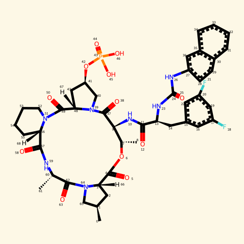 C[C@@H]1C[C@H]2C(=O)O[C@@H](C)[C@H](NC(=O)[C@H](Cc3cc(F)cc(F)c3)NC(=O)Nc3ccc4ccccc4c3)C(=O)N3C[C@H](OP(=O)(O)O)C[C@H]3C(=O)N3CCCC[C@H]3C(=O)N[C@@H](C)C(=O)N2C1